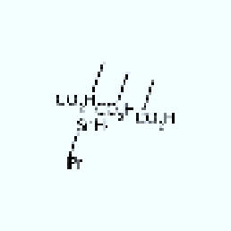 CC(=O)O.CC(=O)O.CC(=O)O.C[CH](C)[SnH]